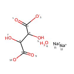 O.O=C([O-])C(O)C(O)C(=O)[O-].[Na+].[Na+]